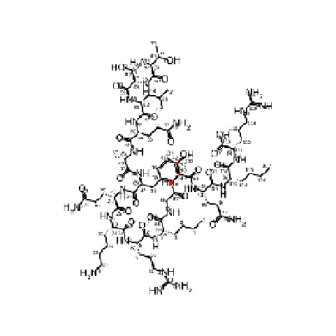 CCCC[C@H](NC(=O)[C@H](CCCNC(=N)N)NC(=O)[C@H](CCCCN)NC(=O)[C@H](CCC(N)=O)NC(=O)[C@H](Cc1ccc(O)cc1)NC(=O)[C@H](C)NC(=O)[C@H](CCC(N)=O)NC(=O)[C@H](CC(C)C)NC(=O)[C@@H](NC(=O)[C@@H](N)[C@@H](C)O)[C@@H](C)O)C(=O)NCC(=O)N[C@H](C(=O)N[C@@H](CCC(N)=O)C(=O)N[C@@H](CCCC)C(=O)N[C@@H](CCCNC(=N)N)C(=O)O)C(C)C